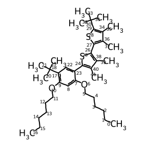 CCCCCCOc1cc(OCCCCCC)c(C(C)(C)C)cc1-c1sc(-c2sc(C(C)(C)C)c(C)c2C)c(C)c1C